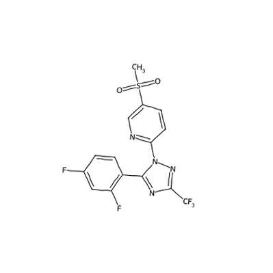 CS(=O)(=O)c1ccc(-n2nc(C(F)(F)F)nc2-c2ccc(F)cc2F)nc1